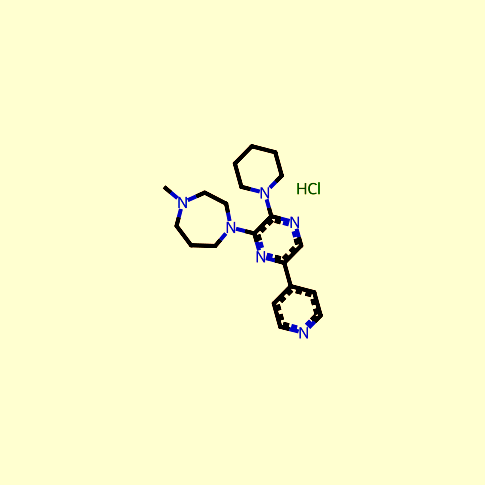 CN1CCCN(c2nc(-c3ccncc3)cnc2N2CCCCC2)CC1.Cl